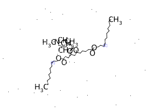 CCCCCCCC/C=C\CCOC(=O)CCCCC(CCCCC(=O)OC/C=C\CCCCCCCC)OC(=O)CC(C)CC(C)(C)CN(C)C